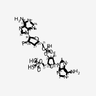 Nc1ncnc2c1ncn2[C@@H]1O[C@H](COP(=O)(O)S)[C@@H](O[P@](=O)(S)OC[C@@H]2C[C@@H](F)[C@H](n3cnc4c(N)ncnc43)O2)[C@H]1F